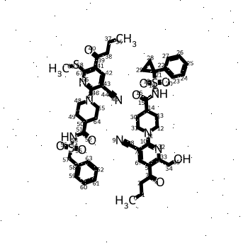 CCCC(=O)c1cc(C#N)c(N2CCC(C(=O)NS(=O)(=O)C3(c4ccccc4)CC3)CC2)nc1CO.CCCC(=O)c1cc(C#N)c(N2CCC(C(=O)NS(=O)(=O)Cc3ccccc3)CC2)nc1SC